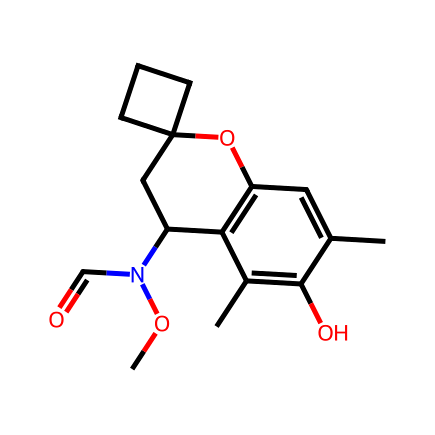 CON(C=O)C1CC2(CCC2)Oc2cc(C)c(O)c(C)c21